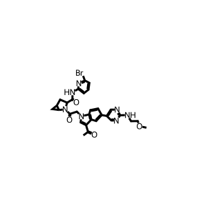 COCCNc1ncc(-c2ccc3c(c2)c(C(C)=O)cn3CC(=O)N2C(C(=O)Nc3cccc(Br)n3)CC3CC32)cn1